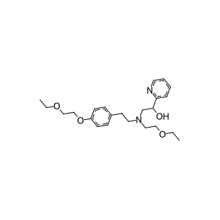 CCOCCOc1ccc(CCN(CCOCC)CC(O)c2ccccn2)cc1